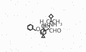 CC(C)(NN[C@@H](C=O)C12CCC(N(OCc3ccccc3)C1=O)C1(CC1)C2)C1CCC1